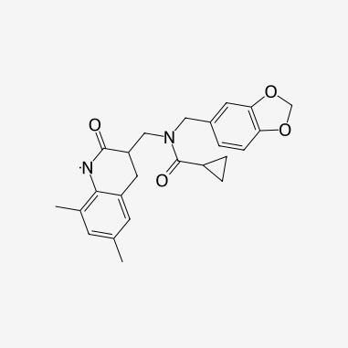 Cc1cc(C)c2c(c1)CC(CN(Cc1ccc3c(c1)OCO3)C(=O)C1CC1)C(=O)[N]2